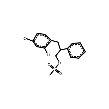 CS(=O)(=O)OCC(Cc1ccc(Cl)cc1Cl)c1ccccc1